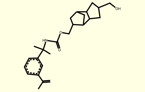 C=C(C)c1cccc(C(C)(C)NC(=O)OCC2CC3CC2C2CC(CO)CC32)c1